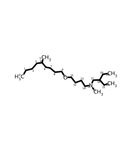 CCCCC(C)CCCCOCCCCN(C)CC(CC)CC